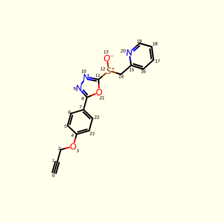 C#CCOc1ccc(-c2nnc([S+]([O-])Cc3ccccn3)o2)cc1